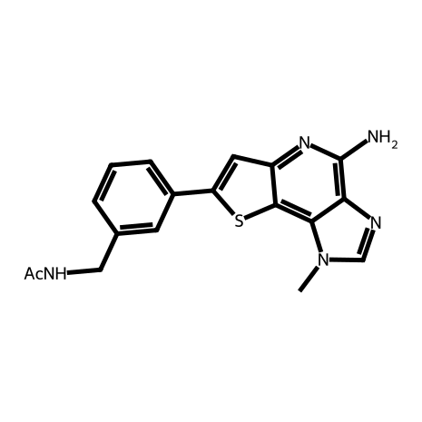 CC(=O)NCc1cccc(-c2cc3nc(N)c4ncn(C)c4c3s2)c1